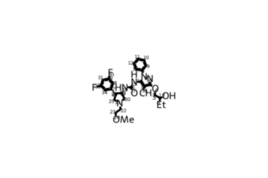 CCC(O)COc1nn(-c2ccccc2)c(NC(=O)N[C@@H]2CN(CCOC)C[C@H]2c2cc(F)cc(F)c2)c1C